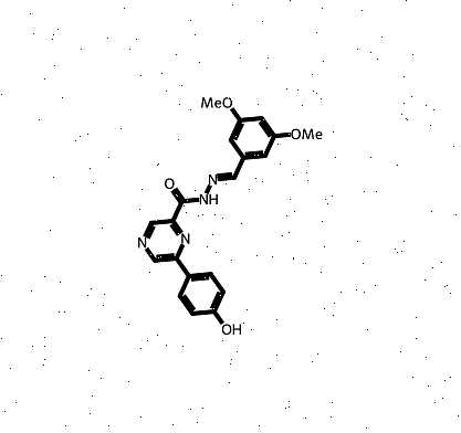 COc1cc(/C=N/NC(=O)c2cncc(-c3ccc(O)cc3)n2)cc(OC)c1